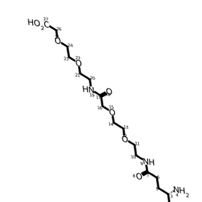 COC(=O)[C@@H](N)CCC(=O)NCCOCCOCC(=O)NCCOCCOCC(=O)O